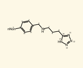 CCCCCCCCCc1ccc(CNCCCc2nnn[nH]2)cc1